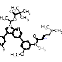 COc1cc(-c2cnc3c(c2)c(-c2ccnc(F)c2)cn3C(C)OC(=O)C(C)(C)C)cc(N(C)C(=O)/C=C/CN(C)C)c1